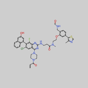 C=CC(=O)N1CCN(c2nc(NCCC(=O)N(C)CCOc3cc(-c4scnc4C)ccc3CNC=O)nc3c(F)c(-c4cc(O)cc5ccccc45)c(Cl)cc23)CC1